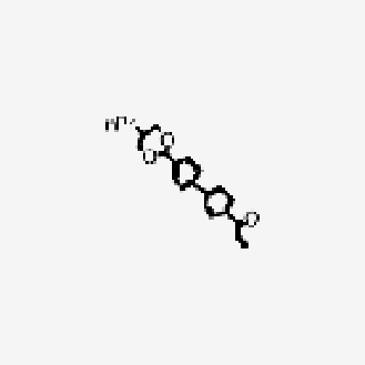 C=CC(=O)c1ccc(-c2ccc(C3OCC(CCC)CO3)cc2)cc1